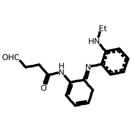 CCNc1ccccc1/N=C1\CC=CC=C1NC(=O)CCC=O